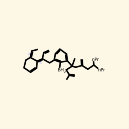 Bc1c(C/C(C=C)=C2\C=CCC\C2=C\C)cccc1C(C)(CC(=C)C)CC(=C)CC(CCC)CCC